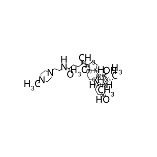 CC[C@H]1[C@@H](O)[C@@H]2[C@H](CC[C@]3(C)[C@@H]([C@H](C)CCC(=O)NCCN4CCN(C)CC4)CC[C@@H]23)[C@@]2(C)CC[C@@H](O)C[C@@H]12